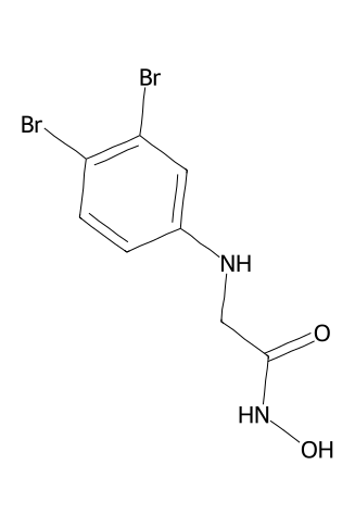 O=C(CNc1ccc(Br)c(Br)c1)NO